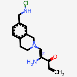 C=CC(=O)/C(N)=C/N1CCc2ccc(CNCl)cc2C1